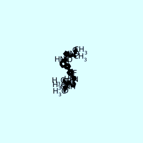 CC[C@H](NC(=O)OC)C(=O)N1CCC[C@H]1c1nc2c([nH]1)CCCc1cc(-c3ccc(-c4cnc([C@@H]5CCCN5C(=O)[C@@H](NC(=O)OC)[C@H](C)OC)[nH]4)c(F)c3)ccc1-2